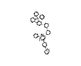 c1ccc(-c2nc(-c3ccc(-c4ccccn4)cc3)cc(-c3cccc(-c4cccc(-c5ccc6c(c5)C(c5ccccc5)(c5ccccc5)c5ccccc5-6)c4)c3)n2)cc1